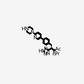 CCC[C@H](C(C)=O)[C@H](Cc1ccc(-c2ccc(N3CCNCC3)nc2)cc1)c1nn[nH]n1